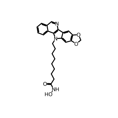 O=C(CCCCCCCCn1c2cc3c(cc2c2ncc4ccccc4c21)OCO3)NO